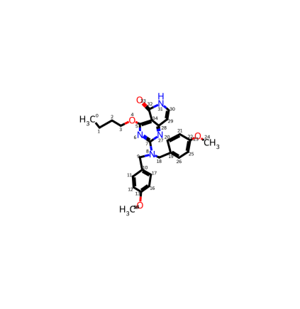 CCCCOc1nc(N(Cc2ccc(OC)cc2)Cc2ccc(OC)cc2)nc2cc[nH]c(=O)c12